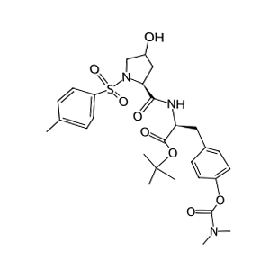 Cc1ccc(S(=O)(=O)N2CC(O)C[C@H]2C(=O)N[C@@H](Cc2ccc(OC(=O)N(C)C)cc2)C(=O)OC(C)(C)C)cc1